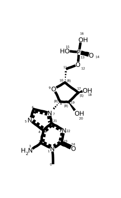 Cn1c(N)c2ncn([C@@H]3O[C@H](COP(=O)(O)O)[C@@H](O)[C@H]3O)c2nc1=O